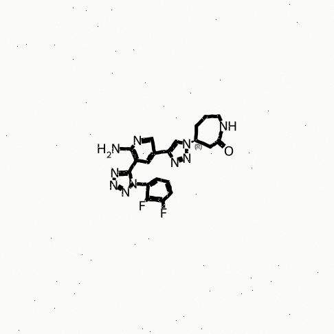 Nc1ncc(-c2cn([C@@H]3CCCNC(=O)C3)nn2)cc1-c1nnnn1-c1cccc(F)c1F